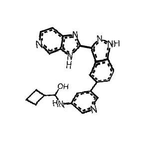 OC(Nc1cncc(-c2ccc3[nH]nc(-c4nc5ccncc5[nH]4)c3c2)c1)C1CCC1